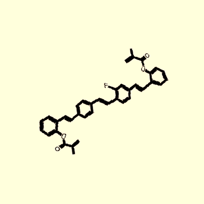 C=C(C)C(=O)Oc1ccccc1/C=C/c1ccc(/C=C/c2ccc(/C=C/c3ccccc3OC(=O)C(=C)C)cc2F)cc1